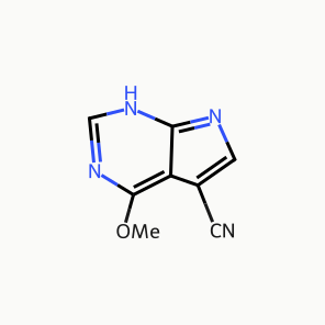 COc1nc[nH]c2ncc(C#N)c1-2